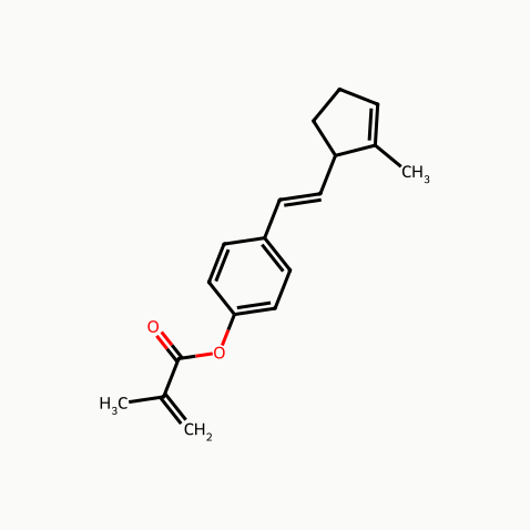 C=C(C)C(=O)Oc1ccc(C=CC2CCC=C2C)cc1